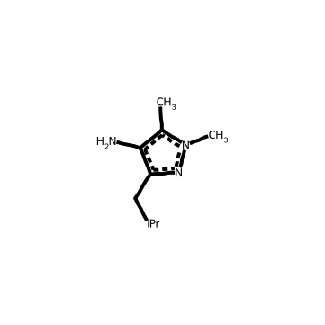 Cc1c(N)c(CC(C)C)nn1C